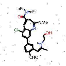 CCCN(CCC)C(=O)C1=Cc2c(Cl)cc(-c3ccc(C=O)c(/C=C(/C)N(C)CCO)c3)cc2N=C(NC)C1